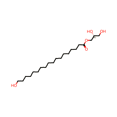 O=C(CCCCCCCCCCCCCCCCCO)OC[C@H](O)CO